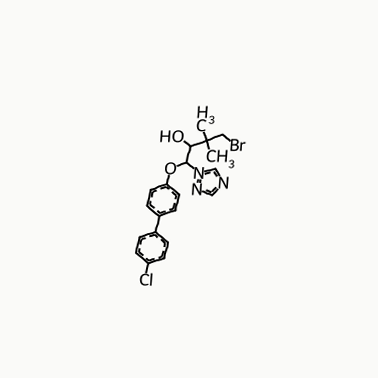 CC(C)(CBr)C(O)C(Oc1ccc(-c2ccc(Cl)cc2)cc1)n1cncn1